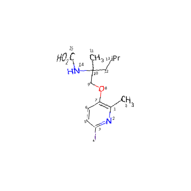 Cc1nc(I)ccc1OCC(C)(CC(C)C)NC(=O)O